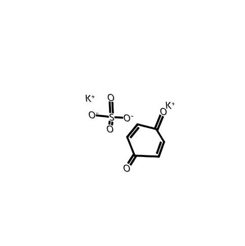 O=C1C=CC(=O)C=C1.O=S(=O)([O-])[O-].[K+].[K+]